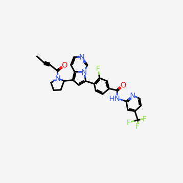 CC#CC(=O)N1CCCC1c1cc(-c2ccc(C(=O)Nc3cc(C(F)(F)F)ccn3)cc2F)n2cnccc12